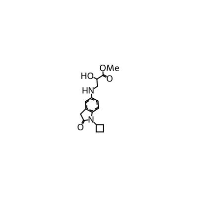 COC(=O)C(O)CNc1ccc2c(c1)CC(=O)N2C1CCC1